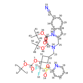 CC(C)(C)OC(=O)OC1(C(F)(F)S(=O)(=O)c2ccccn2)CC(CN(Cc2cc3ccc(C#N)cc3n2C(=O)OC(C)(C)C)C(=O)OC(C)(C)C)C1